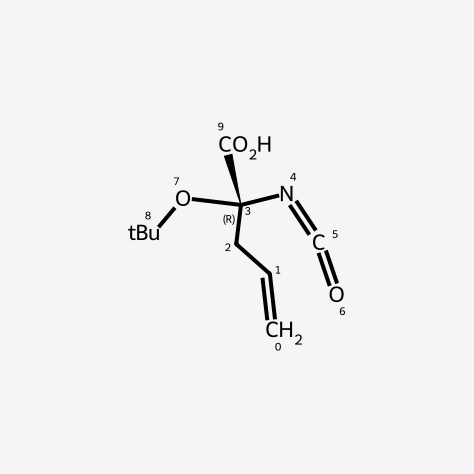 C=CC[C@@](N=C=O)(OC(C)(C)C)C(=O)O